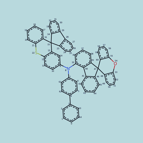 c1ccc(-c2ccc(N(c3ccc4c(c3)C3(c5ccccc5S4)c4ccccc4-c4ccccc43)c3cccc4c3-c3ccccc3C43c4ccccc4Oc4ccccc43)cc2)cc1